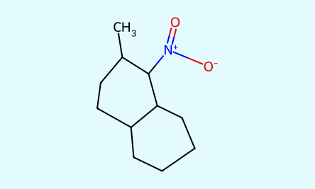 CC1CCC2CCCCC2C1[N+](=O)[O-]